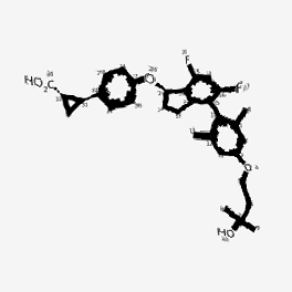 Cc1cc(OCCC(C)(C)O)cc(C)c1-c1c(F)cc(F)c2c1CC[C@H]2Oc1ccc([C@H]2C[C@@H]2C(=O)O)cc1